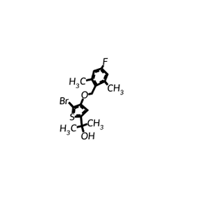 Cc1cc(F)cc(C)c1COc1cc(C(C)(C)O)sc1Br